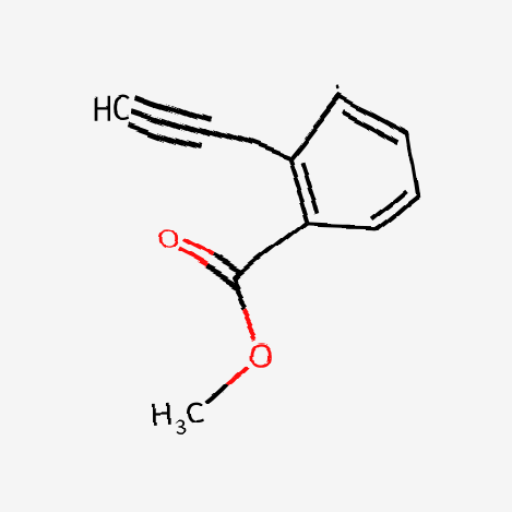 C#Cc1[c]cccc1C(=O)OC